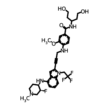 COc1cc(C(=O)NC(CCO)CCO)ccc1NCC#Cc1cc2c(N[C@@H]3CCN(C)C[C@@H]3F)cccc2n1CC(F)(F)F